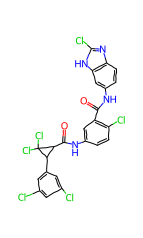 O=C(Nc1ccc2nc(Cl)[nH]c2c1)c1cc(NC(=O)C2C(c3cc(Cl)cc(Cl)c3)C2(Cl)Cl)ccc1Cl